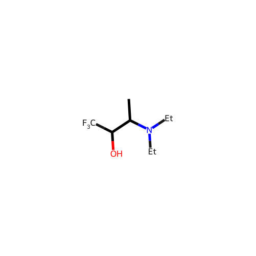 CCN(CC)C(C)C(O)C(F)(F)F